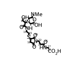 CNC(=O)CN(CCO)C(CO)C(=O)NCCSC1CC(=O)N(CCC(=O)NCC(=O)O)C1=O